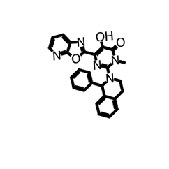 Cn1c(N2CCc3ccccc3C2c2ccccc2)nc(-c2nc3cccnc3o2)c(O)c1=O